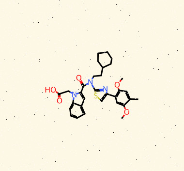 COc1cc(-c2csc(N(CCC3CCCCC3)C(=O)c3cc4ccccc4n3CC(=O)O)n2)c(OC)cc1C